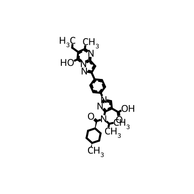 CCc1c(C)nc2cc(-c3ccc(-n4cc(C(=O)O)c(N(C(=O)[C@H]5CC[C@H](C)CC5)C(C)C)n4)cc3)nn2c1O